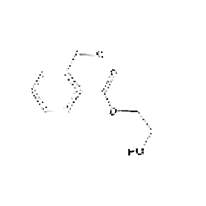 CC(O)COC(=O)c1ccccc1C=O